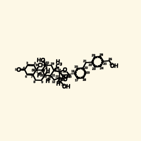 C[C@]12C=CC(=O)C=C1CC[C@H]1[C@@H]3C[C@H]4O[C@@H](c5cccc(Cc6ccc(CO)cc6)c5)O[C@@]4(C(=O)CO)[C@@]3(C)C[C@H](O)[C@@]12F